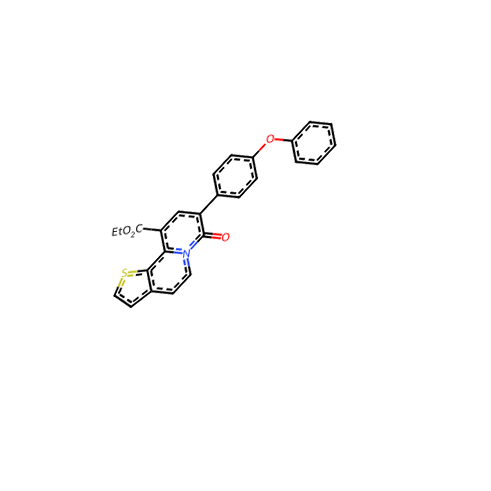 CCOC(=O)c1cc(-c2ccc(Oc3ccccc3)cc2)c(=O)n2ccc3ccsc3c12